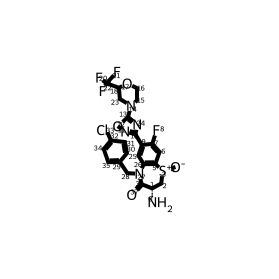 N[C@H]1C[S+]([O-])c2cc(F)c(-c3noc(N4CCOC(C(F)(F)F)C4)n3)cc2N(Cc2ccc(Cl)cc2)C1=O